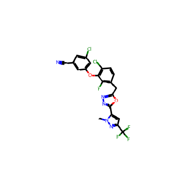 Cn1nc(C(F)(F)F)cc1-c1nnc(Cc2ccc(Cl)c(Oc3cc(Cl)cc(C#N)c3)c2F)o1